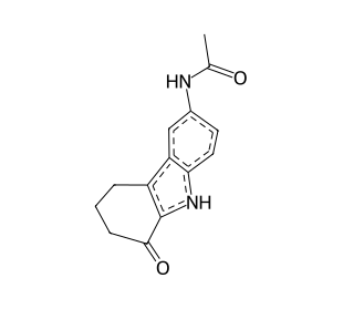 CC(=O)Nc1ccc2[nH]c3c(c2c1)CCCC3=O